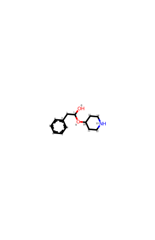 OC(Cc1ccccc1)OC1CCNCC1